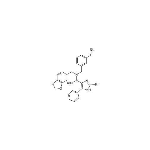 CCCCC(c1nc(Br)[nH]c1-c1ccccc1)N(Cc1cccc(OCC)c1)Cc1ccc2c(c1)OCO2